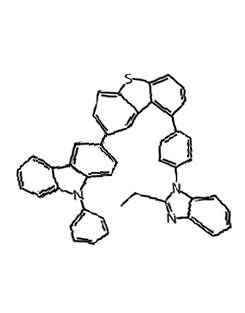 CCc1nc2ccccc2n1-c1ccc(-c2cccc3sc4ccc(-c5ccc6c(c5)c5ccccc5n6-c5ccccc5)cc4c23)cc1